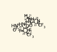 O=C1CC(C(NC(=O)[C@H]2C[C@H]3C[C@H]3N2C(=O)c2ccnc(C(F)(F)F)c2)c2cc(F)c(C(F)(F)F)cc2F)CN1